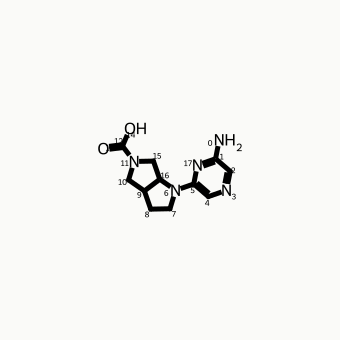 Nc1cncc(N2CCC3CN(C(=O)O)CC32)n1